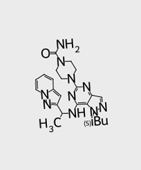 CC[C@H](C)n1ncc2nc(N3CCN(C(N)=O)CC3)nc(NC(C)c3cc4ccccn4n3)c21